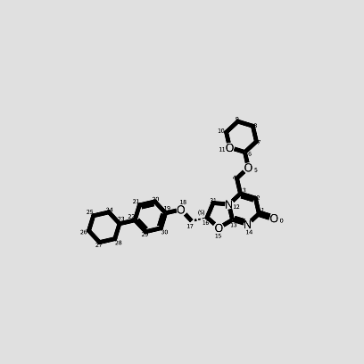 O=c1cc(COC2CCCCO2)n2c(n1)O[C@H](COc1ccc(C3CCCCC3)cc1)C2